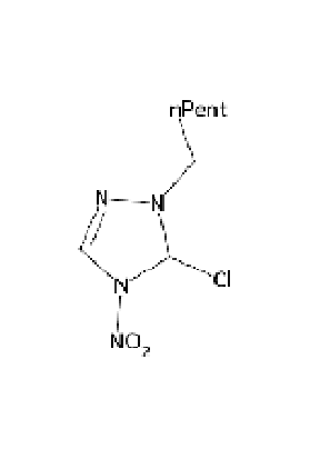 CCCCCCN1N=CN([N+](=O)[O-])C1Cl